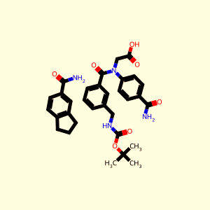 CC(C)(C)OC(=O)NCc1cccc(C(=O)N(CC(=O)O)c2ccc(C(N)=O)cc2)c1.NC(=O)c1ccc2c(c1)CCC2